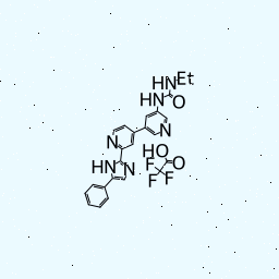 CCNC(=O)Nc1cncc(-c2ccnc(-c3ncc(-c4ccccc4)[nH]3)c2)c1.O=C(O)C(F)(F)F